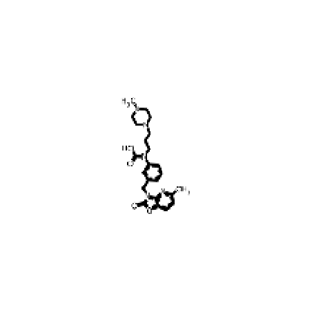 Cc1ccc2oc(=O)n(Cc3cccc(N(CCCN4CCN(C)CC4)C(=O)O)c3)c2n1